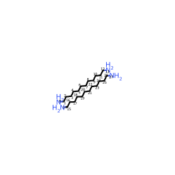 NCCCCCCCCCCCCN.NCCCCCCCCCCCCN